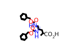 CC(C/C(=C/NC(=O)OCc1ccccc1)NC(=O)OCc1ccccc1)C(=O)O